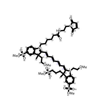 COCCN1/C(=C/C=C/C=C/C=C/C2=[N+](CCCCCC(=O)NCCN3C(=O)C=CC3=O)c3ccc(S(=O)(=O)OC)cc3C2(C)CCOC)C(C)(CCCS(=O)(=O)OC)c2cc(S(=O)(=O)OC)ccc21